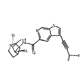 C[C@H]1[C@H](NC(=O)c2cc3c(C#CC(F)F)csc3cn2)C2CCN1CC2